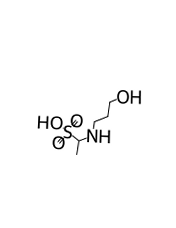 CC(NCCCO)S(=O)(=O)O